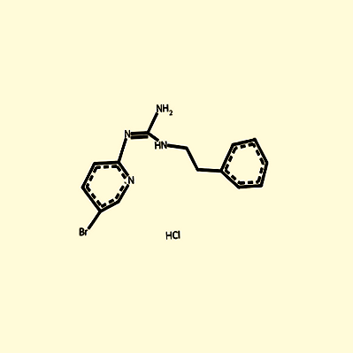 Cl.NC(=Nc1ccc(Br)cn1)NCCc1ccccc1